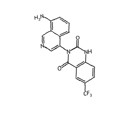 Nc1cccc2c(-n3c(=O)[nH]c4ccc(C(F)(F)F)cc4c3=O)cncc12